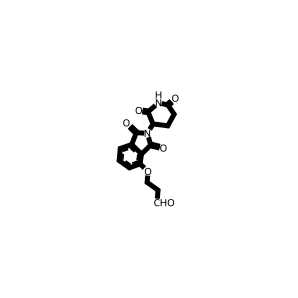 O=CCCOc1cccc2c1C(=O)N(C1CCC(=O)NC1=O)C2=O